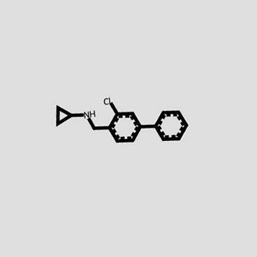 Clc1cc(-c2ccccc2)ccc1CNC1CC1